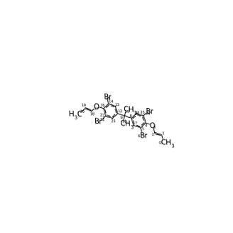 CC=COc1c(Br)cc(C(C)(C)c2cc(Br)c(OC=CC)c(Br)c2)cc1Br